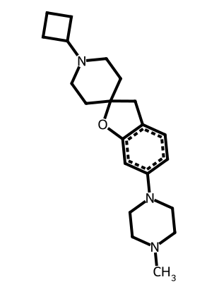 CN1CCN(c2ccc3c(c2)OC2(CCN(C4CCC4)CC2)C3)CC1